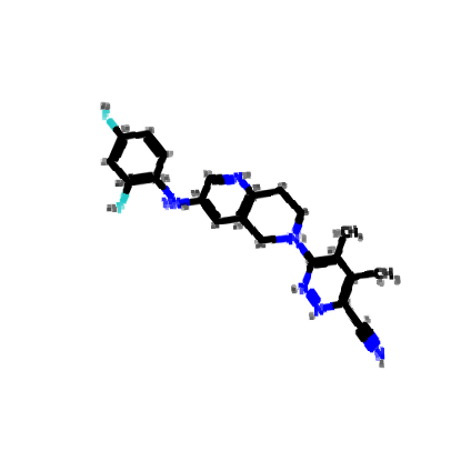 Cc1c(C#N)nnc(N2CCc3ncc(Nc4ccc(F)cc4F)cc3C2)c1C